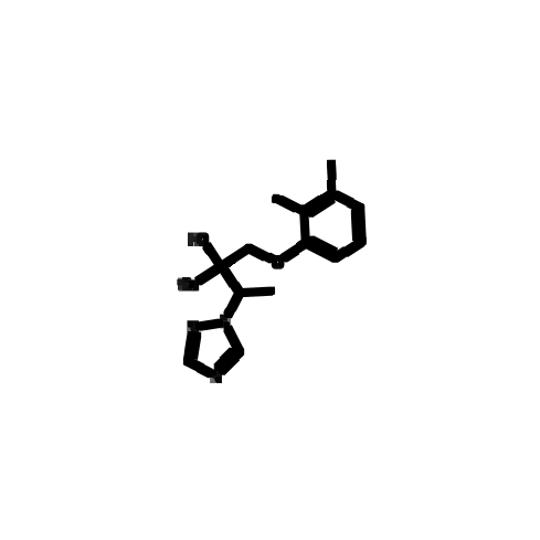 Cc1cccc(OCC(O)(C(C)n2cncn2)C(C)(C)C)c1C